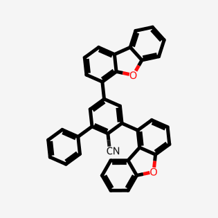 N#Cc1c(-c2ccccc2)cc(-c2cccc3c2oc2ccccc23)cc1-c1cccc2oc3ccccc3c12